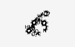 CC(C)(C)OC(=O)Nc1ccccc1NC(=O)c1ccc(CN(CCCN2CCOCC2)C(=O)Nc2ccc(CC#N)cc2)cc1